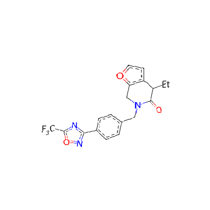 CCC1C(=O)N(Cc2ccc(-c3noc(C(F)(F)F)n3)cc2)Cc2occc21